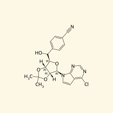 CC1(C)O[C@@H]2[C@H](O1)[C@@H](C(O)c1ccc(C#N)cc1)O[C@H]2n1ccc2c(Cl)ncnc21